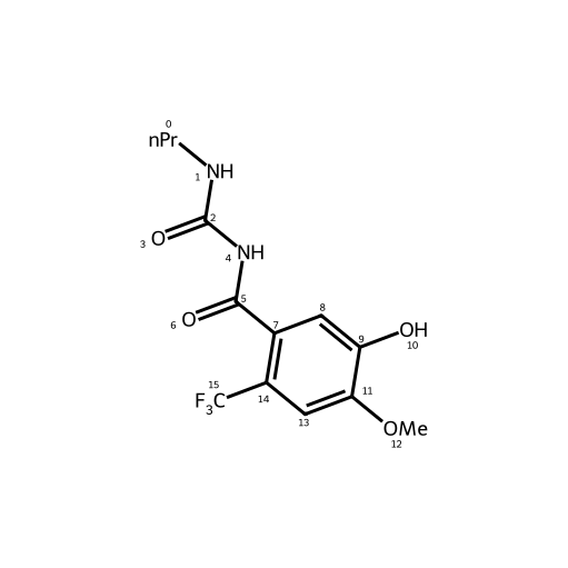 CCCNC(=O)NC(=O)c1cc(O)c(OC)cc1C(F)(F)F